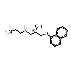 NCCNC[C@H](O)COc1cccc2ccccc12